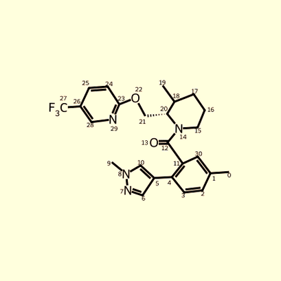 Cc1ccc(-c2cnn(C)c2)c(C(=O)N2CCCC(C)[C@H]2COc2ccc(C(F)(F)F)cn2)c1